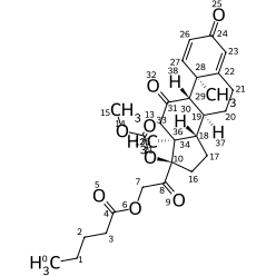 CCCCC(=O)OCC(=O)[C@@]1(OC(=O)OC)CC[C@H]2[C@@H]3CCC4=CC(=O)C=C[C@]4(C)[C@H]3C(=O)C[C@@]21C